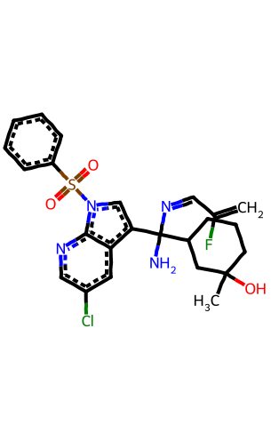 C=C(F)/C=N\C(N)(c1cn(S(=O)(=O)c2ccccc2)c2ncc(Cl)cc12)C1CCCC(C)(O)C1